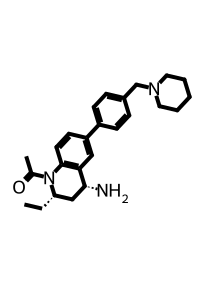 CC[C@H]1C[C@@H](N)c2cc(-c3ccc(CN4CCCCC4)cc3)ccc2N1C(C)=O